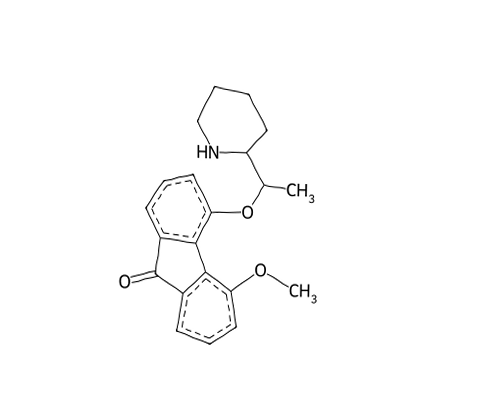 COc1cccc2c1-c1c(OC(C)C3CCCCN3)cccc1C2=O